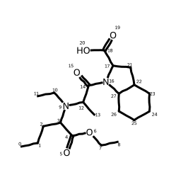 CCCC(C(=O)OCC)N(CC)C(C)C(=O)N1C(C(=O)O)CC2CCCCC21